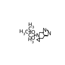 CC(C)(C)OC(=O)N1Cc2ncncc2CC12CC2